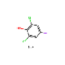 Oc1c(Cl)cc(I)cc1Cl.[NaH]